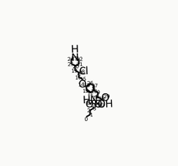 CCCCS(=O)(=O)NC(Cc1ccc(OCCC(Cl)CC2CCNCC2)cc1)C(=O)O